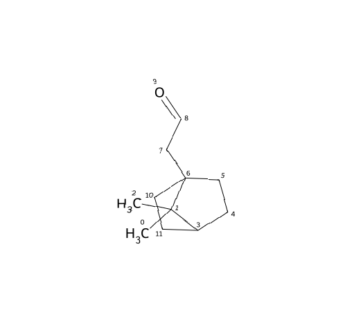 CC1(C)C2CCC1(CC=O)CC2